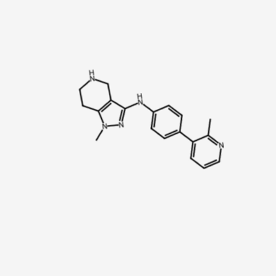 Cc1ncccc1-c1ccc(Nc2nn(C)c3c2CNCC3)cc1